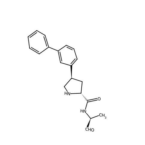 C[C@@H](C=O)NC(=O)[C@H]1C[C@H](c2cccc(-c3ccccc3)c2)CN1